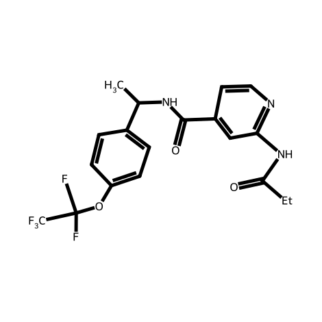 CCC(=O)Nc1cc(C(=O)NC(C)c2ccc(OC(F)(F)C(F)(F)F)cc2)ccn1